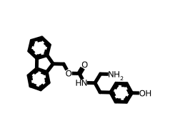 NCC(Cc1ccc(O)cc1)NC(=O)OCC1c2ccccc2-c2ccccc21